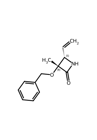 C=C[C@@H]1NC(=O)[C@]1(C)OCc1ccccc1